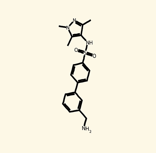 Cc1nn(C)c(C)c1NS(=O)(=O)c1ccc(-c2cccc(CN)c2)cc1